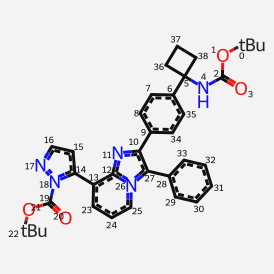 CC(C)(C)OC(=O)NC1(c2ccc(-c3nc4c(-c5ccnn5C(=O)OC(C)(C)C)cccn4c3-c3ccccc3)cc2)CCC1